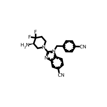 N#Cc1ccc(Cn2c(N3CCC(F)(F)[C@H](N)C3)nc3cc(C#N)ccc32)cc1